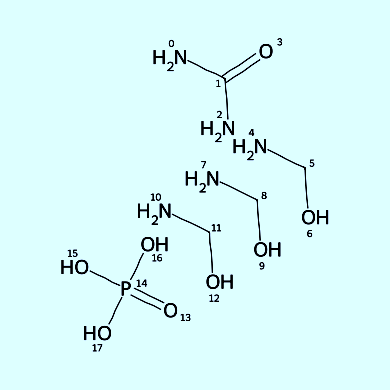 NC(N)=O.NCO.NCO.NCO.O=P(O)(O)O